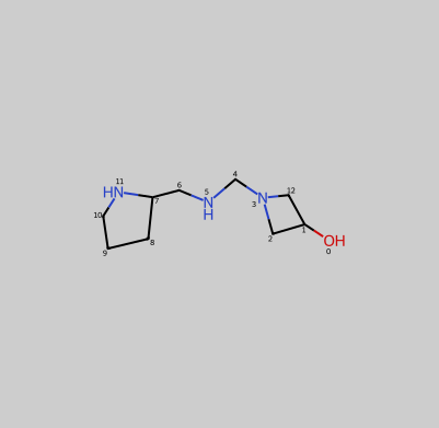 OC1CN(CNCC2CCCN2)C1